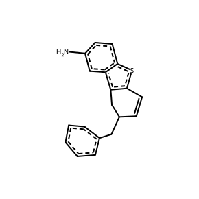 Nc1ccc2sc3c(c2c1)CC(Cc1ccccc1)C=C3